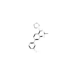 Cc1nc(N2CCCC2)c2ccc(-c3cccc(N)c3)cc2n1